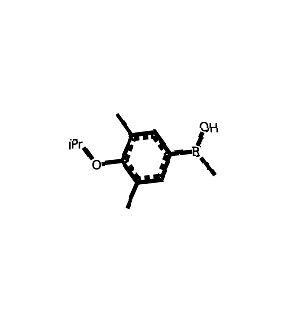 CB(O)c1cc(C)c(OC(C)C)c(C)c1